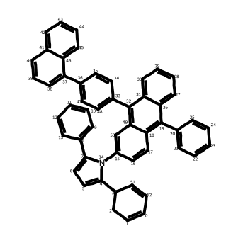 C1=CCC(c2ccc(-c3ccccc3)n2-c2ccc3c(-c4ccccc4)c4ccccc4c(-c4ccc(-c5cccc6ccccc56)cc4)c3c2)C=C1